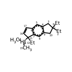 CCC1(CC)Cc2cc3c(cc2C1)[C](CC)([Hf]([CH3])[CH3])C=C3